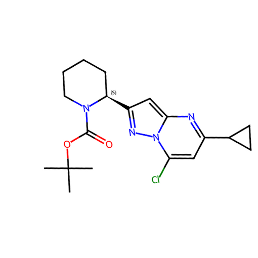 CC(C)(C)OC(=O)N1CCCC[C@H]1c1cc2nc(C3CC3)cc(Cl)n2n1